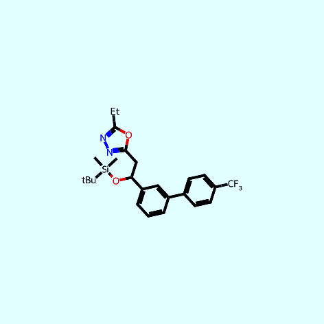 CCc1nnc(CC(O[Si](C)(C)C(C)(C)C)c2cccc(-c3ccc(C(F)(F)F)cc3)c2)o1